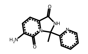 CC1(c2ccccn2)NC(=O)c2ccc(N)c(=O)n21